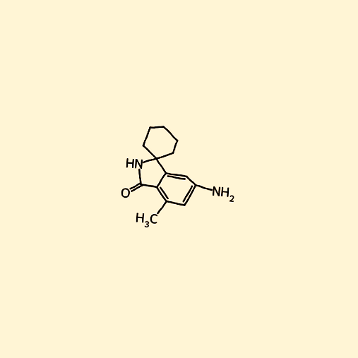 Cc1cc(N)cc2c1C(=O)NC21CCCCC1